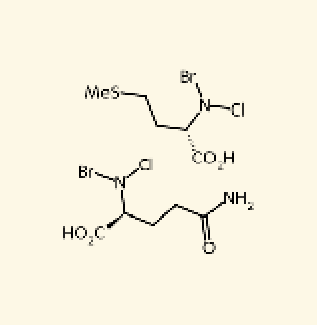 CSCC[C@@H](C(=O)O)N(Cl)Br.NC(=O)CC[C@@H](C(=O)O)N(Cl)Br